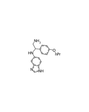 CCCOc1ccc(C(CN)Nc2ccc3[nH]cnc3c2)cc1